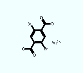 O=C([O-])c1cc(Br)c(C(=O)[O-])cc1Br.[Ag+2]